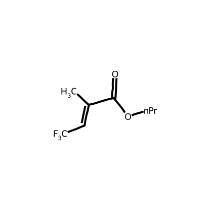 CCCOC(=O)C(C)=CC(F)(F)F